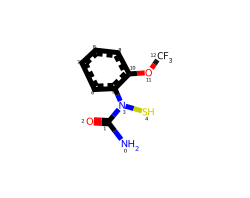 NC(=O)N(S)c1ccccc1OC(F)(F)F